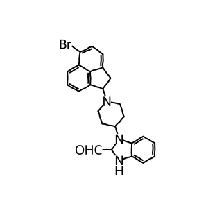 O=CC1Nc2ccccc2N1C1CCN(C2Cc3ccc(Br)c4cccc2c34)CC1